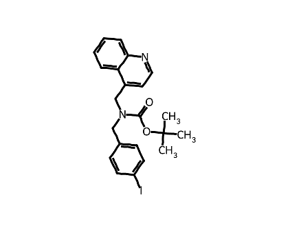 CC(C)(C)OC(=O)N(Cc1ccc(I)cc1)Cc1ccnc2ccccc12